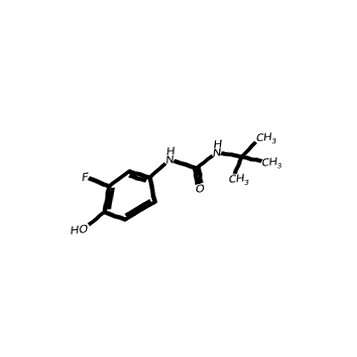 CC(C)(C)NC(=O)Nc1ccc(O)c(F)c1